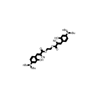 CCCCN(CCCC)c1ccc(/C=C(\C#N)C(=O)OCCOC(=O)/C(C#N)=C/c2ccc(N(CCCC)CCCC)cc2O)c(O)c1